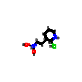 O=[N+]([O-])C=Cc1cccnc1Cl